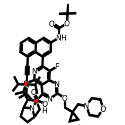 CC1Oc2nc(-c3cc(NC(=O)OC(C)(C)C)cc4cccc(C#C[Si](C(C)C)(C(C)C)C(C)C)c34)c(F)c3nc(OCC4(CN5CCOCC5)CC4)nc(c23)N2CC3CCC(C12)N3C(=O)O